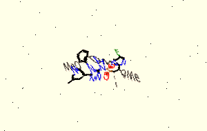 COc1cccc(OC)c1-n1c(NS(=O)(=O)[C@@H](C)[C@H](OC)c2ncc(F)cn2)nnc1-c1cncc(C)c1